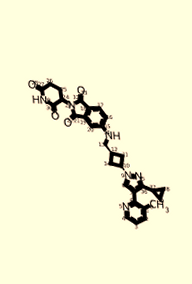 Cc1cccnc1-c1cn([C@H]2C[C@H](CNc3ccc4c(c3)C(=O)N(C3CCC(=O)NC3=O)C4=O)C2)nc1C1CC1